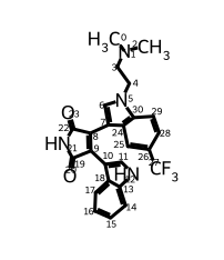 CN(C)CCn1cc(C2=C(c3c[nH]c4ccccc34)C(=O)NC2=O)c2cc(C(F)(F)F)ccc21